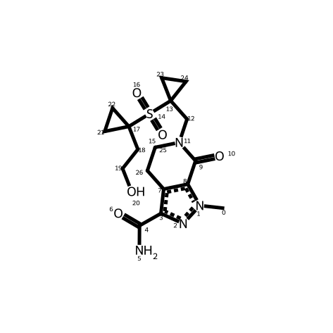 Cn1nc(C(N)=O)c2c1C(=O)N(CC1(S(=O)(=O)C3(CCO)CC3)CC1)CC2